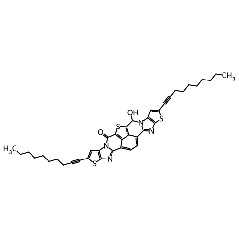 CCCCCCCCC#Cc1cc2c(nc3n2C(O)c2sc4c(=O)n5c6cc(C#CCCCCCCCC)sc6nc5c5ccc-3c2c45)s1